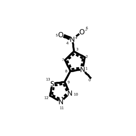 Cn1cc([N+](=O)[O-])cc1-c1nncs1